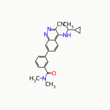 CC(Nc1c(C#N)nnc2cc(-c3cccc(C(=O)N(C)C)c3)ccc12)C1CC1